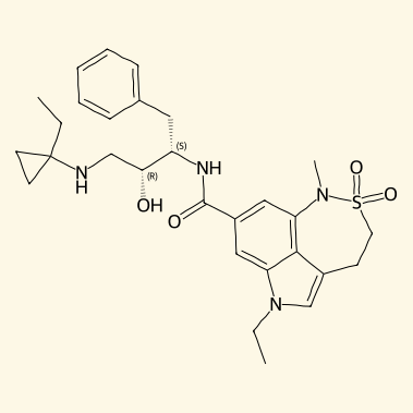 CCn1cc2c3c(cc(C(=O)N[C@@H](Cc4ccccc4)[C@H](O)CNC4(CC)CC4)cc31)N(C)S(=O)(=O)CC2